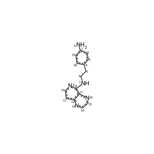 Nc1ccc(CCNc2nccc3nccnc23)cc1